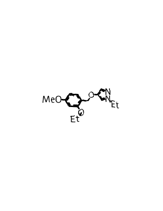 CCOc1cc(OC)ccc1COc1cnn(CC)c1